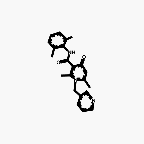 Cc1cccc(C)c1NC(=O)c1c(C)n(Cc2cccnc2)c(C)cc1=O